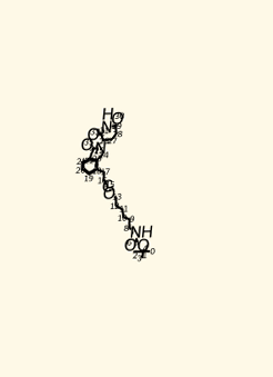 CC(C)(C)OC(=O)NCCCCCCOCCCc1cccc2c1CN(C1CCC(=O)NC1=O)C2=O